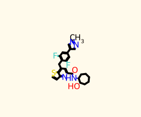 Cn1cc(-c2cc(F)c(Cc3cc(C(=O)N[C@H]4CCCCC[C@@H]4O)nc4ccsc34)c(F)c2)cn1